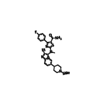 CCc1nc2ccc(C3CCN(SC)CC3)cn2c1N(C)c1nc(-c2ccc(F)cc2)c(C(N)=O)s1